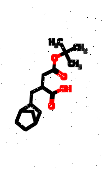 CC(C)(C)OC(=O)CC(CC1CC2CCC1C2)C(=O)O